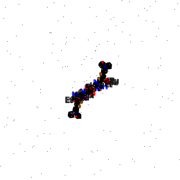 CCCCCCOc1c2cc(C3=CN=C(c4cc5c(s4)-c4sc(-c6ccc(N(c7ccccc7)c7ccccc7)cc6)cc4C5(CC(CC)CCCC)CC(CC)CCCC)C4NSNC34)sc2c(OCCCCCC)c2cc(C3=CN=C(c4cc5c(s4)-c4sc(-c6ccc(N(c7ccccc7)c7ccccc7)cc6)cc4C5(CC(CC)CCCC)CC(CC)CCCC)C4NSNC34)sc12